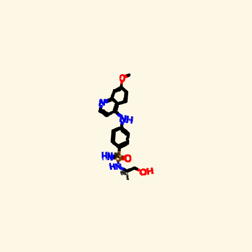 COc1ccc2c(Nc3ccc([S@](=N)(=O)N[C@@H](C)CO)cc3)ccnc2c1